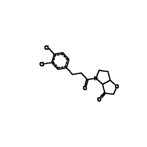 O=C1COC2CCN(C(=O)CCc3ccc(Cl)c(Cl)c3)C12